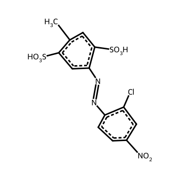 Cc1cc(S(=O)(=O)O)c(N=Nc2ccc([N+](=O)[O-])cc2Cl)cc1S(=O)(=O)O